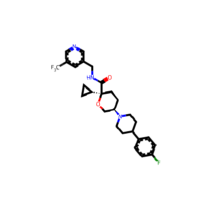 O=C(NCc1cncc(C(F)(F)F)c1)[C@@]1(C2CC2)CC[C@@H](N2CCC(c3ccc(F)cc3)CC2)CO1